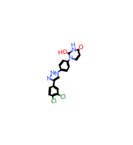 O=C1C=CN(c2ccc(-n3cc(-c4ccc(Cl)c(Cl)c4)nn3)cc2)C(O)N1